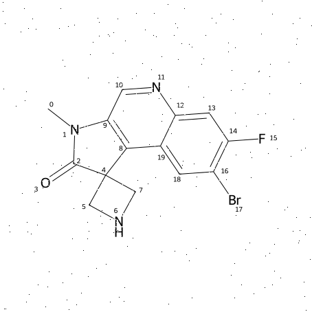 CN1C(=O)C2(CNC2)c2c1cnc1cc(F)c(Br)cc21